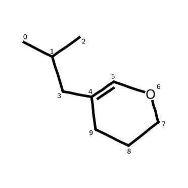 CC(C)CC1=COCCC1